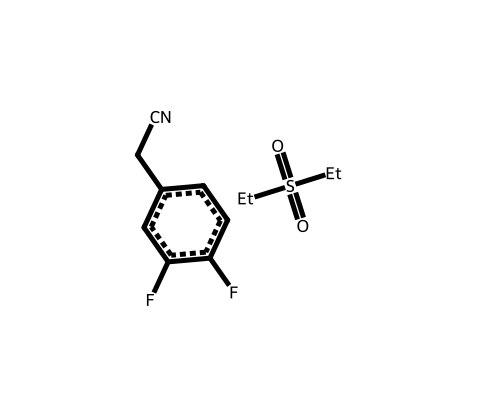 CCS(=O)(=O)CC.N#CCc1ccc(F)c(F)c1